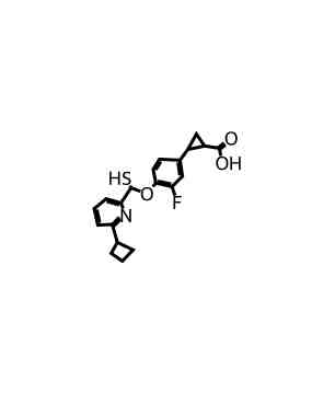 O=C(O)C1CC1c1ccc(OC(S)c2cccc(C3CCC3)n2)c(F)c1